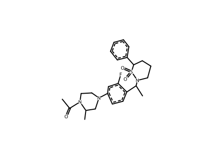 CC(=O)N1CCN(c2ccc(C(C)N3CCCC(c4ccccc4)S3(=O)=O)c(F)c2)CC1C